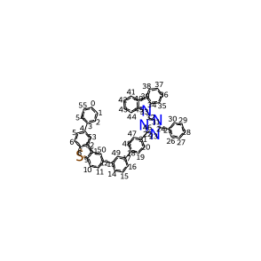 c1ccc(-c2ccc3sc4ccc(-c5cccc(-c6ccc(-c7nc(-c8ccccc8)nc(-n8c9ccccc9c9ccccc98)n7)cc6)c5)cc4c3c2)cc1